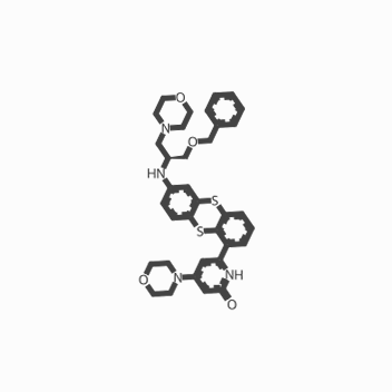 O=c1cc(N2CCOCC2)cc(-c2cccc3c2Sc2ccc(N[C@H](COCc4ccccc4)CN4CCOCC4)cc2S3)[nH]1